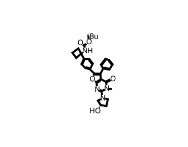 Cn1c(N2CC[C@H](O)C2)nc2oc(-c3ccc(C4(NC(=O)OC(C)(C)C)CCC4)cc3)c(-c3ccccc3)c2c1=O